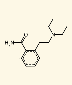 CCN(CC)CCc1ccc[c]c1C(N)=O